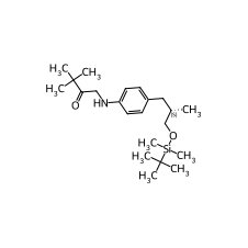 C[C@H](CO[Si](C)(C)C(C)(C)C)Cc1ccc(NCC(=O)C(C)(C)C)cc1